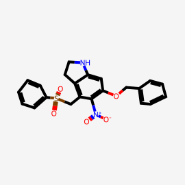 O=[N+]([O-])c1c(OCc2ccccc2)cc2c(c1CS(=O)(=O)c1ccccc1)CCN2